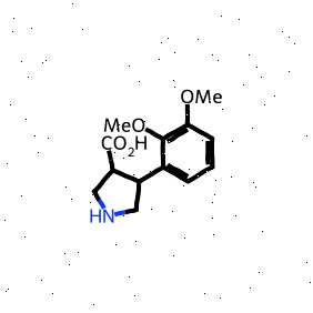 COc1cccc(C2CNCC2C(=O)O)c1OC